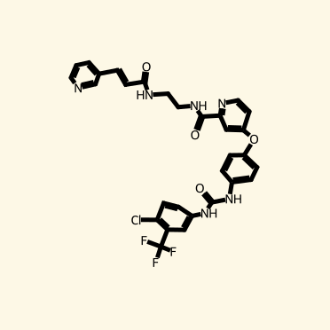 O=C(C=Cc1cccnc1)NCCNC(=O)c1cc(Oc2ccc(NC(=O)Nc3ccc(Cl)c(C(F)(F)F)c3)cc2)ccn1